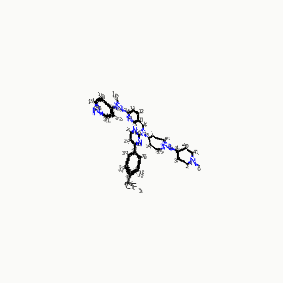 CN1CCC(N2CCC(N(Cc3ccc(N(C)c4ccncc4)nc3)c3nccc(-c4ccc(C(F)(F)F)cc4)n3)CC2)CC1